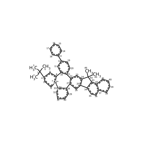 CC(C)(C)c1cc[n+]2c(c1)-c1cc(-c3ccccc3)ccc1-c1cc3c(cc1-c1cccc[n+]1-2)-c1ccc2ccccc2c1C3(C)C